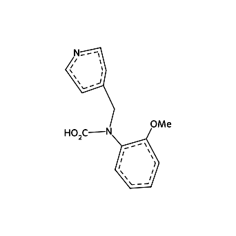 COc1ccccc1N(Cc1ccncc1)C(=O)O